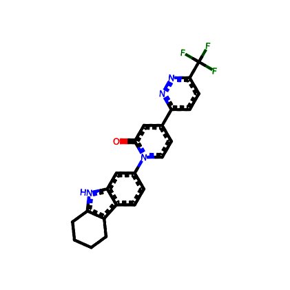 O=c1cc(-c2ccc(C(F)(F)F)nn2)ccn1-c1ccc2c3c([nH]c2c1)CCCC3